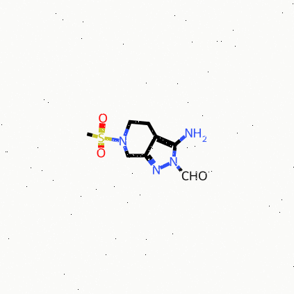 CS(=O)(=O)N1CCc2c(nn(C=O)c2N)C1